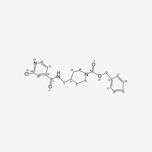 O=C(NCC1CCN(C(=O)OCc2ccccc2)CC1)c1ccnc(Cl)c1